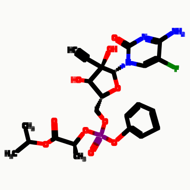 C#C[C@@]1(O)C(O)[C@@H](COP(=O)(Oc2ccccc2)O[C@@H](C)C(=O)OC(C)C)O[C@H]1n1cc(F)c(N)nc1=O